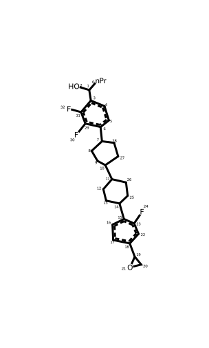 CCCC(O)c1ccc(C2CCC(C3CCC(c4ccc(C5CO5)cc4F)CC3)CC2)c(F)c1F